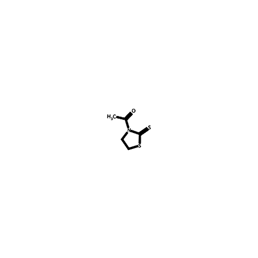 CC(=O)N1CCSC1=S